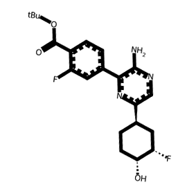 CC(C)(C)OC(=O)c1ccc(-c2nc([C@@H]3CC[C@@H](O)[C@@H](F)C3)cnc2N)cc1F